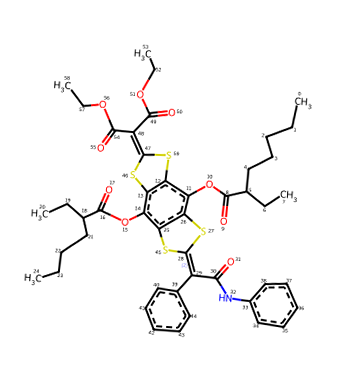 CCCCCC(CC)C(=O)Oc1c2c(c(OC(=O)C(CC)CCCC)c3c1S/C(=C(\C(=O)Nc1ccccc1)c1ccccc1)S3)SC(=C(C(=O)OCC)C(=O)OCC)S2